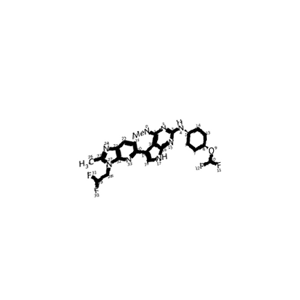 CNc1nc(N[C@H]2CC[C@@H](OC(F)F)CC2)nc2[nH]cc(-c3ccc4nc(C)n(CC(F)F)c4n3)c12